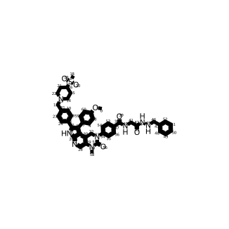 COc1ccc(-c2c(-c3ccc(CN4CCC(S(C)(=O)=O)CC4)cc3)[nH]c3ncc4c(c23)CN(c2ccc(C(=O)NCC(=O)NNCc3ccccc3)cc2)C(=O)N4C)cc1